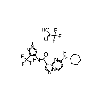 Cn1cc(NC(=O)c2cnn3ccc(NC4CCCCC4)nc23)c(C(F)(F)F)n1.O=C(O)C(F)(F)F